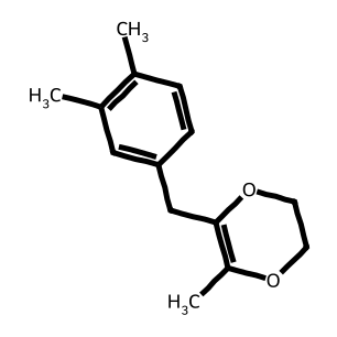 CC1=C(Cc2ccc(C)c(C)c2)OCCO1